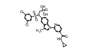 Cc1cn(-c2cc(C(=O)NC3CC3)ccn2)c2ccc(N(CP(=O)(O)O)S(=O)(=O)c3cc(Cl)cc(Cl)c3)cc12